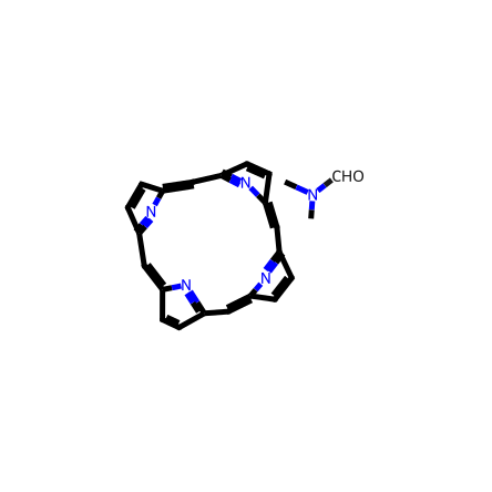 C1=CC2=NC1=CC1=NC(=CC3=NC(=CC4=NC(=C2)C=C4)C=C3)C=C1.CN(C)C=O